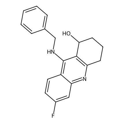 OC1CCCc2nc3cc(F)ccc3c(NCc3ccccc3)c21